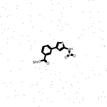 COC(=O)c1cccc(-c2csc(N[SH](=O)=O)c2)c1